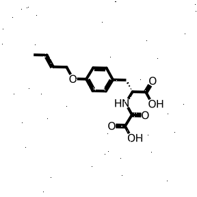 C/C=C/COc1ccc(C[C@@H](NC(=O)C(=O)O)C(=O)O)cc1